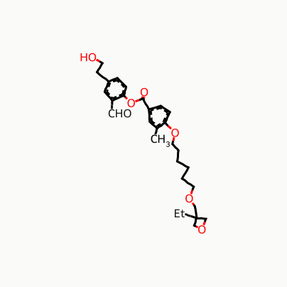 CCC1(COCCCCCCOc2ccc(C(=O)Oc3ccc(CCO)cc3C=O)cc2C)COC1